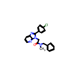 CN(Cc1ccccc1)C(=O)Cn1c(-c2ccc(Cl)cc2)nc2cccnc21